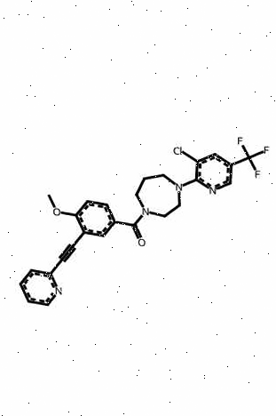 COc1ccc(C(=O)N2CCCN(c3ncc(C(F)(F)F)cc3Cl)CC2)cc1C#Cc1ccccn1